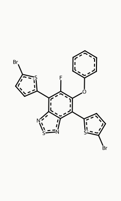 Fc1c(Oc2ccccc2)c(-c2ccc(Br)s2)c2nsnc2c1-c1ccc(Br)s1